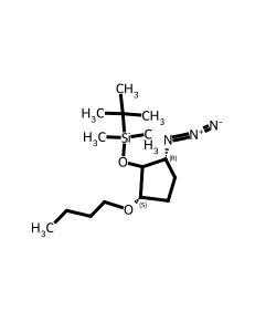 CCCCO[C@H]1CC[C@@H](N=[N+]=[N-])C1O[Si](C)(C)C(C)(C)C